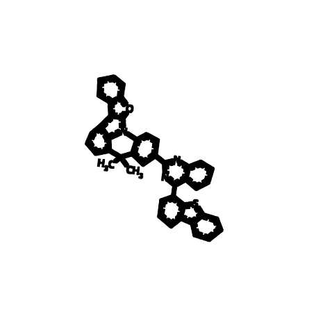 CC1(C)c2cc(-c3nc(-c4cccc5c4sc4ccccc45)c4ccccc4n3)ccc2-n2c3oc4ccccc4c3c3cccc1c32